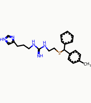 Cc1ccc(C(SCCNC(=N)NCCCc2c[nH]cn2)c2ccccc2)cc1